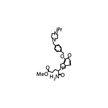 COC(=O)CCC(C(N)=O)N1C=C2C=CC(=O)C(OCc3ccc(CN4CCN(C(C)C)CC4)cc3)=C2C1